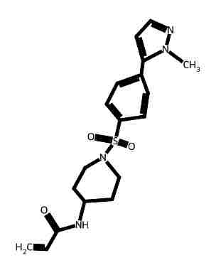 C=CC(=O)NC1CCN(S(=O)(=O)c2ccc(-c3ccnn3C)cc2)CC1